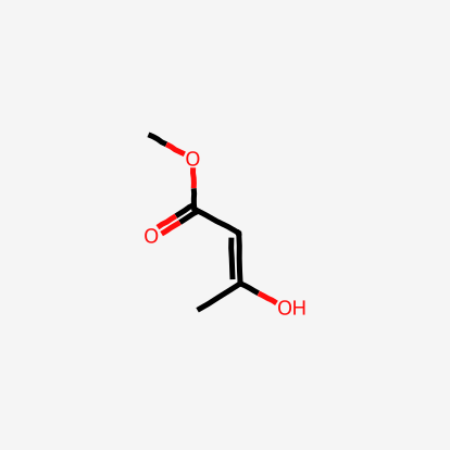 COC(=O)/C=C(\C)O